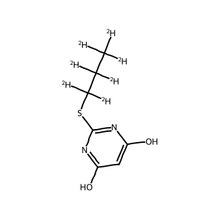 [2H]C([2H])([2H])C([2H])([2H])C([2H])([2H])Sc1nc(O)cc(O)n1